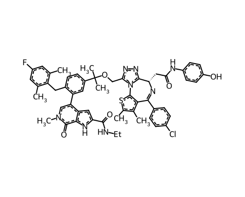 CCNC(=O)c1cc2c(-c3cc(C(C)(C)OCc4nnc5n4-c4sc(C)c(C)c4C(c4ccc(Cl)cc4)=N[C@H]5CC(=O)Nc4ccc(O)cc4)ccc3Cc3c(C)cc(F)cc3C)cn(C)c(=O)c2[nH]1